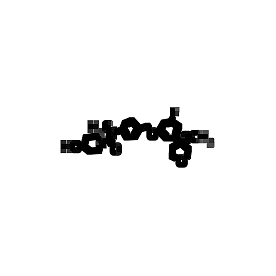 COC1(c2cc(F)cc(OCc3ccc(N(C)C(=O)N4CCC(O)CC4)cc3)c2)CCOCC1